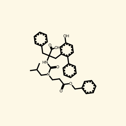 CC(C)CN(CCC(=O)OCc1ccccc1)C(=O)NC(Cc1ccccc1)(Cc1cc(O)ccc1-c1ccccc1)C(=O)O